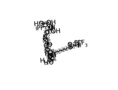 CC(C)c1cc(-c2nnc(O)n2-c2ccc(CN3CCN(C(=O)Oc4ccc5c(c4)C[C@@H](CCCCCCCCC[S+]([O-])CCCC(F)(F)C(F)(F)F)[C@@H]4[C@@H]5CCC5(C)[C@@H](O)CC[C@@H]45)CC3)cc2)c(O)cc1O